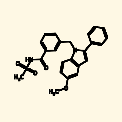 COc1ccc2c(c1)cc(-c1ccccc1)n2Cc1cccc(C(=O)NS(C)(=O)=O)c1